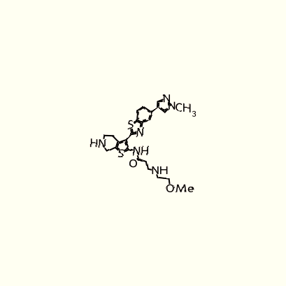 COCCNCCC(=O)Nc1sc2c(c1-c1nc3cc(-c4cnn(C)c4)ccc3s1)CCNC2